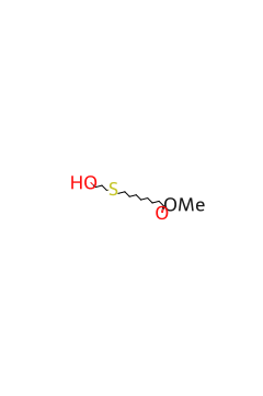 COC(=O)CCCCCCCCSCCCO